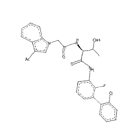 CC(=O)c1cn(CC(=O)N[C@H](C(=O)Nc2cccc(-c3ccccc3Cl)c2F)C(C)O)c2ccccc12